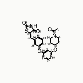 CC(=O)N1CCC(Oc2cc(Oc3cccc(C=C4SC(=O)NC4=O)c3)ncn2)CC1